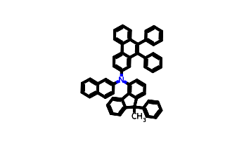 CC1(c2ccccc2)c2ccccc2-c2c(N(c3ccc4ccccc4c3)c3ccc4c(c3)c(-c3ccccc3)c(-c3ccccc3)c3ccccc34)cccc21